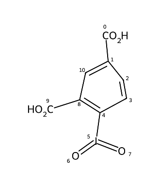 O=C(O)c1ccc(I(=O)=O)c(C(=O)O)c1